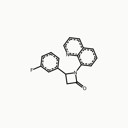 O=C1CC(c2cccc(F)c2)N1c1cccc2cccnc12